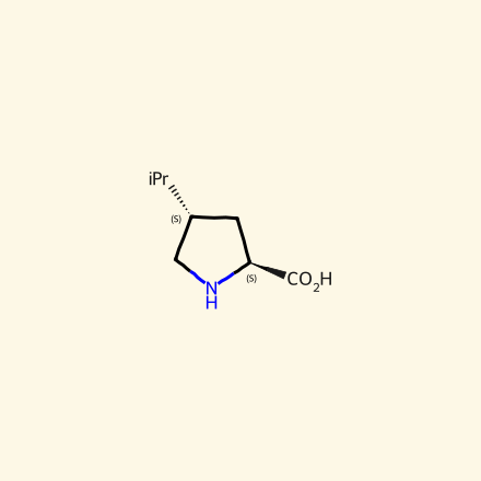 CC(C)[C@H]1CN[C@H](C(=O)O)C1